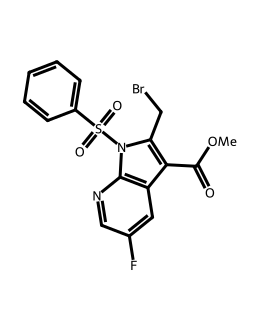 COC(=O)c1c(CBr)n(S(=O)(=O)c2ccccc2)c2ncc(F)cc12